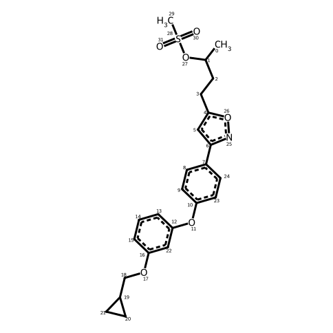 CC(CCc1cc(-c2ccc(Oc3cccc(OCC4CC4)c3)cc2)no1)OS(C)(=O)=O